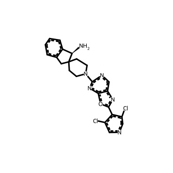 N[C@@H]1c2ccccc2CC12CCN(c1ncc3nc(-c4c(Cl)cncc4Cl)oc3n1)CC2